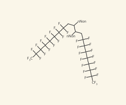 CCCCCCCCCC(CC(F)(F)C(F)(F)C(F)(F)C(F)(F)C(F)(F)C(F)(F)C(F)(F)C(F)(F)F)C(CCCCCCCCC)CC(F)(F)C(F)(F)C(F)(F)C(F)(F)C(F)(F)C(F)(F)C(F)(F)C(F)(F)F